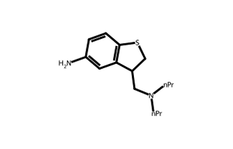 CCCN(CCC)CC1CSc2ccc(N)cc21